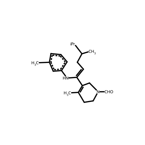 CC1=C(/C(=C/CC(C)C(C)C)Nc2cccc(C)c2)CN(C=O)CC1